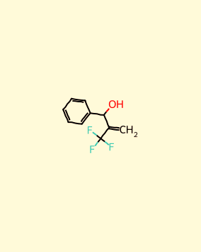 C=C(C(O)c1ccccc1)C(F)(F)F